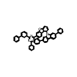 C1=CC(c2nc(-c3ccccc3)nc(-c3ccc4c(c3)oc3cccc(-n5c6cc(-c7ccccc7)ccc6c6ccc(-c7ccccc7)cc65)c34)n2)CC(c2ccccc2)=C1